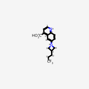 O=C(O)c1ccnc2ccc(N3CC(CCC(F)(F)F)C3)cc12